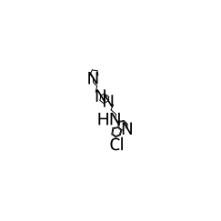 Clc1ccc2c(NCCCN3CCN(CCCN4CCCC4)CC3)ccnc2c1